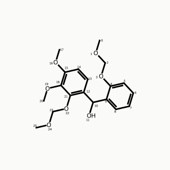 COCOc1ccccc1C(O)c1ccc(OC)c(OC)c1OCOC